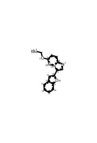 CC(C)(C)COc1ccc2ncc(-c3cc4ccccc4o3)n2n1